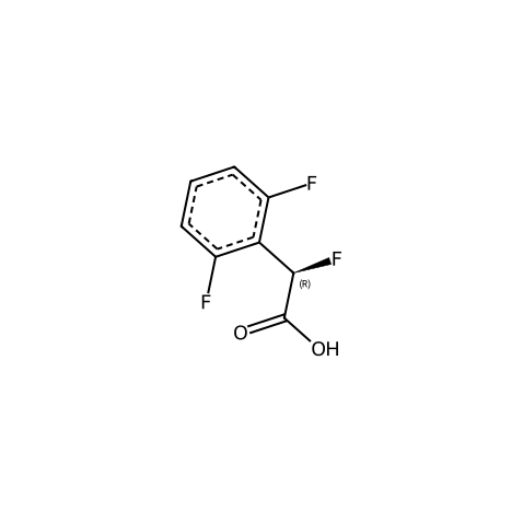 O=C(O)[C@H](F)c1c(F)cccc1F